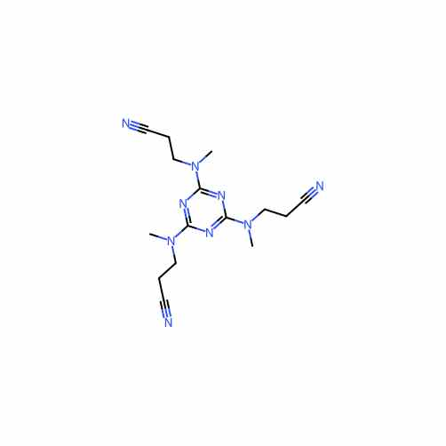 CN(CCC#N)c1nc(N(C)CCC#N)nc(N(C)CCC#N)n1